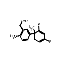 COCc1cc(C2(C)CC=C(F)C=C2F)ccc1C